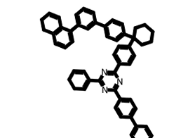 C1=CC(c2nc(-c3ccc(-c4ccccc4)cc3)nc(-c3ccc(C4(c5ccc(-c6cccc(-c7cccc8c7C=CCC8)c6)cc5)CCCCC4)cc3)n2)=CCC1